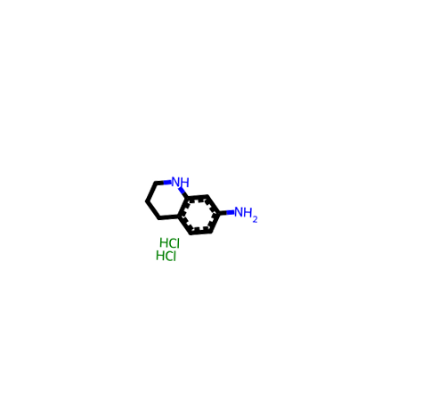 Cl.Cl.Nc1ccc2c(c1)NCCC2